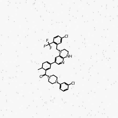 CC1CC=C(c2cnc3c(c2)N(Cc2cc(Cl)ccc2C(F)(F)F)CCN3)C=C1C(=O)N1CCN(c2cccc(Cl)c2)CC1